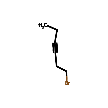 [CH2]CC#CCCBr